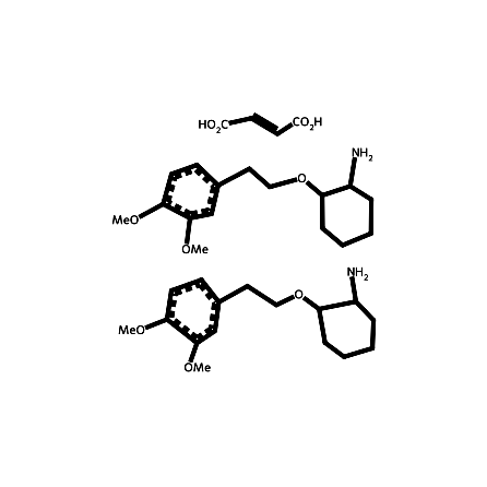 COc1ccc(CCOC2CCCCC2N)cc1OC.COc1ccc(CCOC2CCCCC2N)cc1OC.O=C(O)C=CC(=O)O